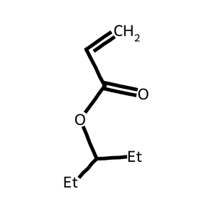 C=CC(=O)OC(CC)CC